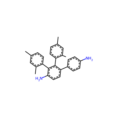 Cc1ccc(-c2c(N)ccc(-c3ccc(N)cc3)c2-c2ccc(C)cc2C)c(C)c1